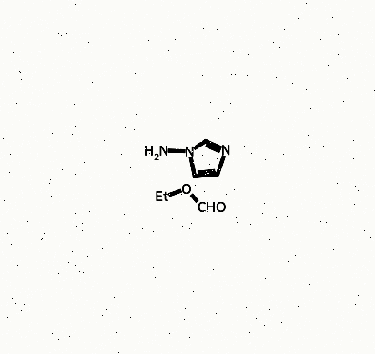 CCOC=O.Nn1ccnc1